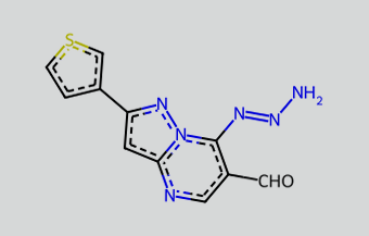 NN=Nc1c(C=O)cnc2cc(-c3ccsc3)nn12